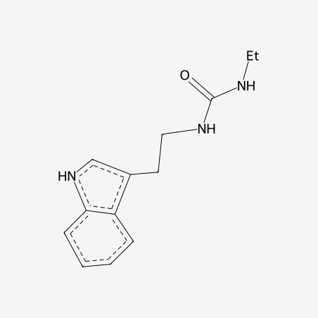 CCNC(=O)NCCc1c[nH]c2ccccc12